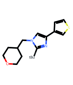 CC(C)(C)c1nc(-c2ccsc2)cn1CC1CCOCC1